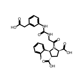 O=C(O)Cc1cccc(NC(=O)NCC(=O)N2[C@@H](C(=O)O)C[C@H](C(=O)O)[C@H]2c2ccccc2F)c1